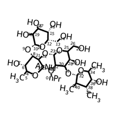 CCCO[C@@H]1OC(C)[C@H](O)[C@H](O[C@H]2O[C@@H](CO)[C@@H](O)C(O)C2O)C1O[C@@H]1OC(CO)[C@@H](O)C(O[C@@H]2OC(C)[C@H](O)[C@H](C)C2C)[C@@H]1NC(C)=O